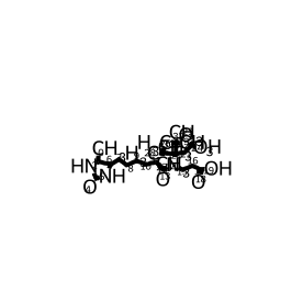 CC1NC(=O)NC1CCCCCC(=O)N(CCC(=O)O)C(CC(=O)O)(C(C)(C)C)C(C)(C)C